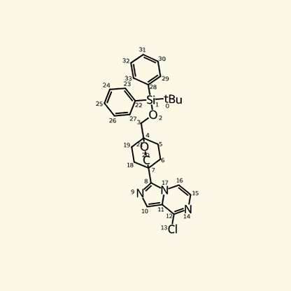 CC(C)(C)[Si](OCC12CCC(c3ncc4c(Cl)nccn34)(CC1)CO2)(c1ccccc1)c1ccccc1